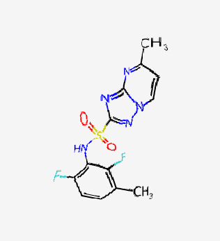 Cc1ccn2nc(S(=O)(=O)Nc3c(F)ccc(C)c3F)nc2n1